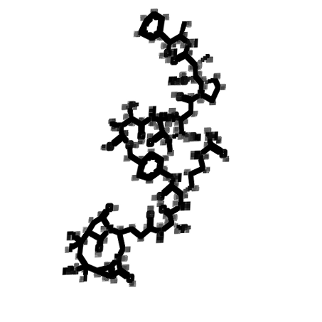 CCCCC1(I)CC(I)(CC)C2CC(=O)N(C2=O)C(CCC(=O)N[C@H](C(=O)N[C@@H](CCCNC(N)=O)C(=O)Nc2ccc(COC(=O)N(C)[C@H](C(=O)N[C@H](C(=O)N(C)[C@@H]([C@@H](C)CC)[C@@H](CC(=O)N3CCC[C@H]3[C@H](OC)[C@@H](C)C(=O)N[C@H](C)[C@@H](O)c3ccccc3)OC)C(C)C)C(C)C)cc2)C(C)C)CN2C(=O)CC1C2=O